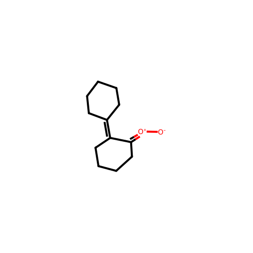 [O-][O+]=C1CCCCC1=C1CCCCC1